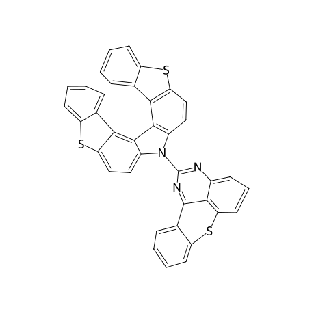 c1ccc2c(c1)Sc1cccc3nc(-n4c5ccc6sc7ccccc7c6c5c5c6c(ccc54)sc4ccccc46)nc-2c13